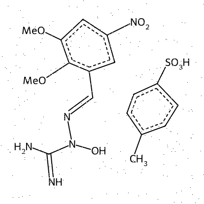 COc1cc([N+](=O)[O-])cc(C=NN(O)C(=N)N)c1OC.Cc1ccc(S(=O)(=O)O)cc1